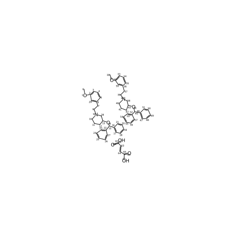 COc1cccc(CCN2CCCC(OC(c3ccccc3)c3ccccc3)C2)c1.COc1cccc(CCN2CCCC(OC(c3ccccc3)c3ccccc3)C2)c1.O=C(O)/C=C/C(=O)O